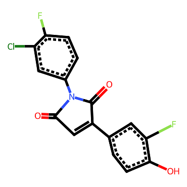 O=C1C=C(c2ccc(O)c(F)c2)C(=O)N1c1ccc(F)c(Cl)c1